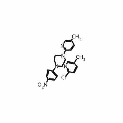 Cc1ccc(Cl)nc1.Cc1ccc(N2CCN(c3ccc([N+](=O)[O-])cc3)CC2)nc1